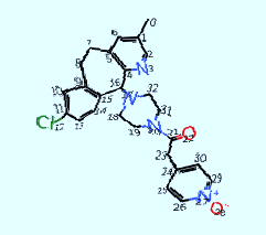 Cc1cnc2c(c1)CCc1cc(Cl)ccc1C2N1CCN(C(=O)Cc2cc[n+]([O-])cc2)CC1